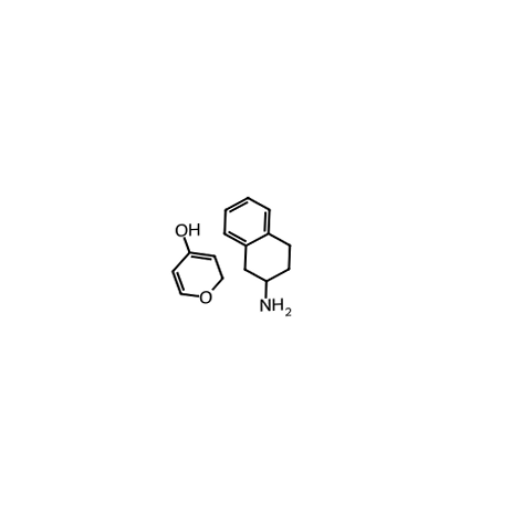 NC1CCc2ccccc2C1.OC1=CCOC=C1